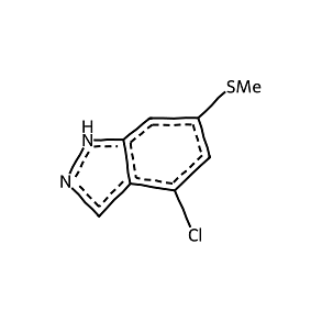 CSc1cc(Cl)c2cn[nH]c2c1